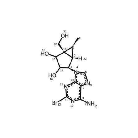 C[C@H]1[C@@H]2[C@@H](n3cnc4c(N)nc(Br)nc43)C(O)C(O)[C@@]21CO